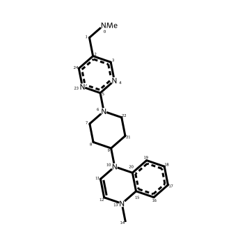 CNCc1cnc(N2CCC(N3C=CN(C)c4ccccc43)CC2)nc1